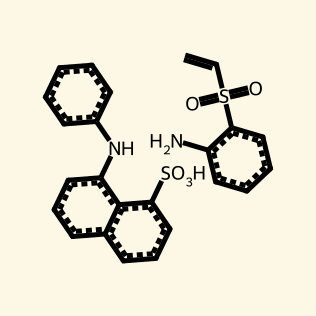 C=CS(=O)(=O)c1ccccc1N.O=S(=O)(O)c1cccc2cccc(Nc3ccccc3)c12